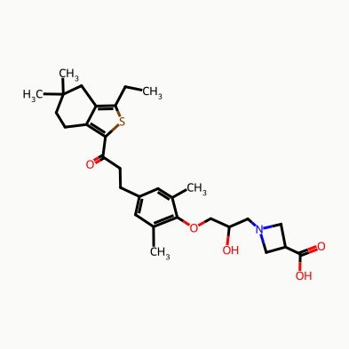 CCc1sc(C(=O)CCc2cc(C)c(OCC(O)CN3CC(C(=O)O)C3)c(C)c2)c2c1CC(C)(C)CC2